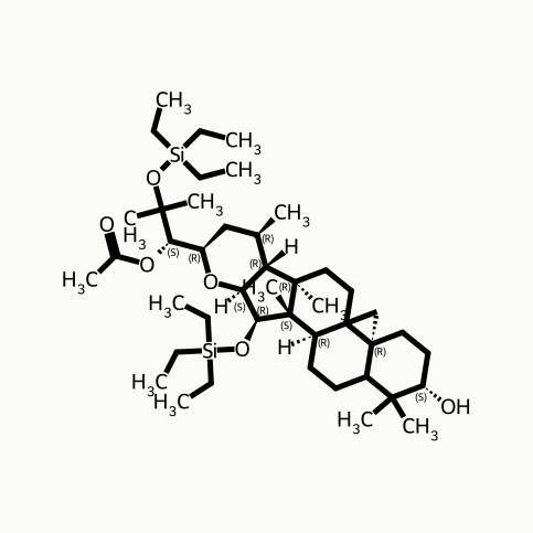 CC[Si](CC)(CC)O[C@H]1[C@H]2O[C@@H]([C@H](OC(C)=O)C(C)(C)O[Si](CC)(CC)CC)C[C@@H](C)[C@@H]2[C@@]2(C)CCC34C[C@@]35CC[C@H](O)C(C)(C)C5CC[C@H]4[C@]12C